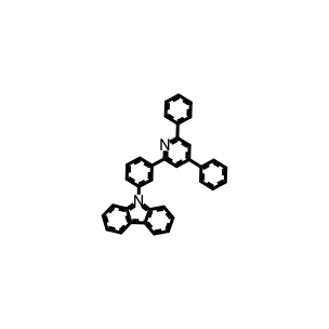 c1ccc(-c2cc(-c3ccccc3)nc(-c3cccc(-n4c5ccccc5c5ccccc54)c3)c2)cc1